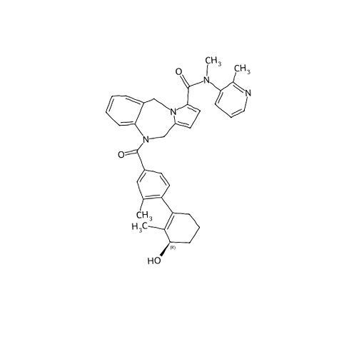 CC1=C(c2ccc(C(=O)N3Cc4ccc(C(=O)N(C)c5cccnc5C)n4Cc4ccccc43)cc2C)CCC[C@H]1O